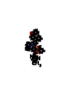 Cc1ccccc1S(=O)(=O)c1cc(N(c2ccc(-c3ccccc3-c3cccc4oc5ccccc5c34)cc2)c2cccc3ccccc23)ccc1CCC1C[C@@H]2C[C@H](C)C[C@H]1C2